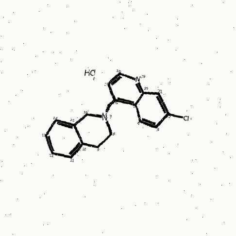 Cl.Clc1ccc2c(N3CCc4ccccc4C3)ccnc2c1